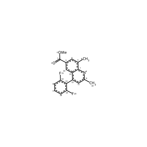 COC(=O)c1cc(C)c2nc(C)cc(-c3c(F)cccc3F)c2c1